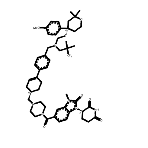 COc1ccc([C@]2(CCN(Cc3ccc(C4=CC[C@H](CN5CCN(C(=O)c6ccc7c(c6)n(C)c(=O)n7[C@@H]6CCC(=O)NC6=O)CC5)CC4)cc3)CC(C)(C)C(F)(F)F)CCOC(C)(C)C2)cc1